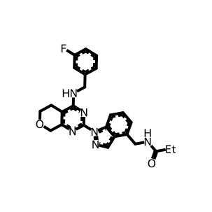 CCC(=O)NCc1cccc2c1cnn2-c1nc2c(c(NCc3cccc(F)c3)n1)CCOC2